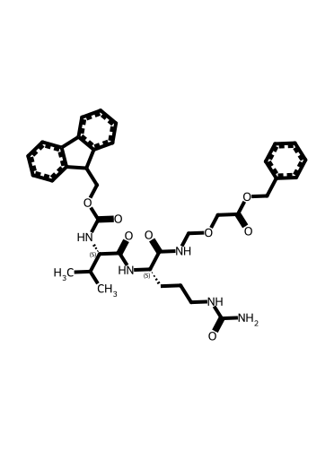 CC(C)[C@H](NC(=O)OCC1c2ccccc2-c2ccccc21)C(=O)N[C@@H](CCCNC(N)=O)C(=O)NCOCC(=O)OCc1ccccc1